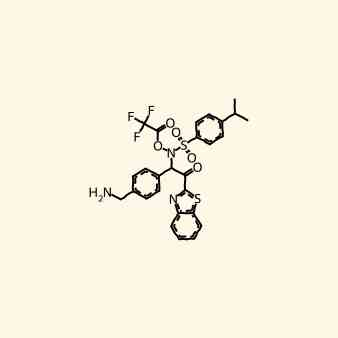 CC(C)c1ccc(S(=O)(=O)N(OC(=O)C(F)(F)F)C(C(=O)c2nc3ccccc3s2)c2ccc(CN)cc2)cc1